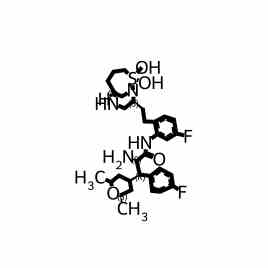 CC1CC([C@H](c2ccc(F)cc2)[C@H](N)C(=O)Nc2cc(F)ccc2CC[C@H]2CN[C@@H]3CCCS(O)(O)N2C3)C[C@H](C)O1